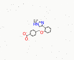 O=C([O-])c1ccc(COc2ccccc2-c2c[nH]cn2)cc1.[Li+]